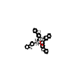 c1ccc2cc3c(cc2c1)c1ccccc1n3-c1cc2oc3ccccc3c2cc1-c1nc(-c2ccc3c(c2)sc2ccccc23)nc(-c2ccc3c(c2)sc2ccccc23)n1